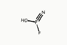 N#P(O)F